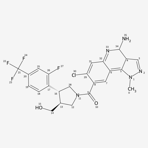 CN1N=CC2C1=c1cc(C(=O)N3C[C@@H](CO)[C@H](c4ccc(C(F)(F)F)cc4F)C3)c(Cl)cc1=NC2N